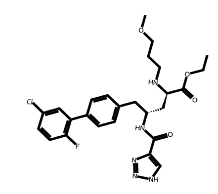 CCOC(=O)[C@@H](C[C@@H](Cc1ccc(-c2cc(Cl)ccc2F)cc1)NC(=O)c1c[nH]nn1)NCCCOC